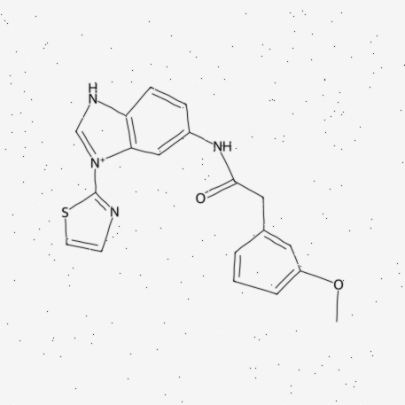 COc1cccc(CC(=O)Nc2ccc3[nH]c[n+](-c4nccs4)c3c2)c1